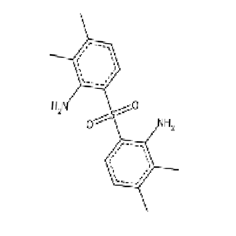 Cc1ccc(S(=O)(=O)c2ccc(C)c(C)c2N)c(N)c1C